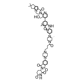 C[C@@H]1CN(C(=O)CCCN2CCN(c3ccc4c(c3)C(=O)N(C3CCC(=O)NC3=O)C4=O)CC2)CCN1c1ccc(Nc2cc(-c3ccnc(N4CCn5c(cc6c5CC(C)(C)C6)C4=O)c3CO)cn(C)c2=O)nc1